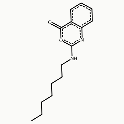 CCCCCCCNc1nc2ccccc2c(=O)o1